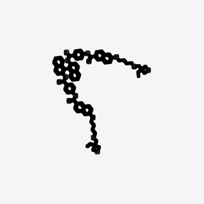 CCC1(COCCCCOc2ccc3cc(C(=O)Oc4ccc(C(=O)Oc5ccc6ccccc6c5-c5c(OC(=O)c6ccc(OC(=O)c7ccc8cc(OCCCCOCC9(CC)COC9)ccc8c7)cc6)ccc6ccccc56)cc4)ccc3c2)COC1